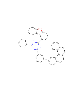 c1ccc(-c2nc(-c3cccc(-c4ccc5ccc6ccc7ccccc7c6c5c4)c3)nc(-c3cccc4oc5ccccc5c34)n2)cc1